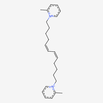 Cc1cccc[n+]1CCCC/C=C\C=C/CCCC[n+]1ccccc1C